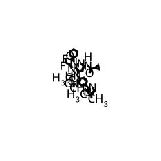 Cc1cnc(-c2ccc(Nc3cc(NC(=O)C4CC4)nc4c3nc(C(F)F)n4C3CCCCO3)c(N(C)S(C)(=O)=O)c2)n1C